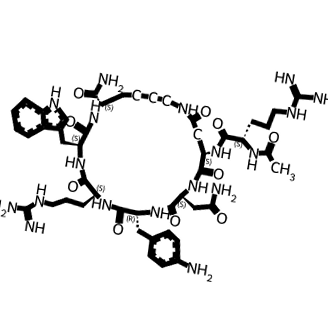 CC(=O)N[C@@H](CCCNC(=N)N)C(=O)N[C@H]1CC(=O)NCCCC[C@@H](C(N)=O)NC(=O)[C@H](Cc2c[nH]c3ccccc23)NC(=O)[C@H](CCCNC(=N)N)NC(=O)[C@@H](Cc2ccc(N)cc2)NC(=O)[C@H](CC(N)=O)NC1=O